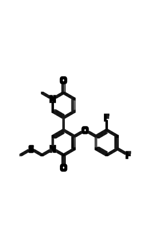 CSCn1cc(-c2ccc(=O)n(C)c2)c(Oc2ccc(F)cc2F)cc1=O